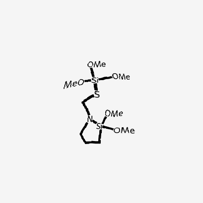 CO[Si](OC)(OC)SCN1CCC[Si]1(OC)OC